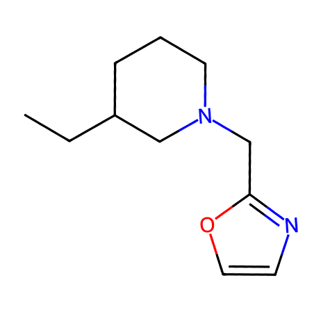 CCC1CCCN(Cc2ncco2)C1